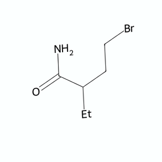 CCC(CCBr)C(N)=O